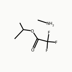 CC(C)OC(=O)C(F)(F)F.CN